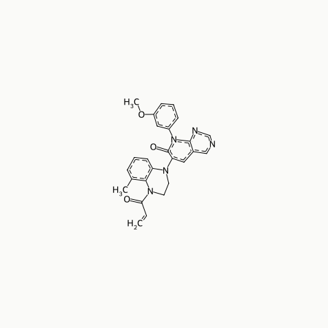 C=CC(=O)N1CCN(c2cc3cncnc3n(-c3cccc(OC)c3)c2=O)c2cccc(C)c21